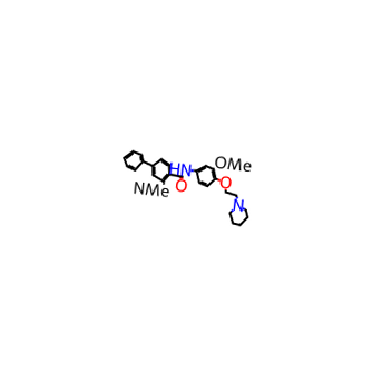 CNc1cc(-c2ccccc2)ccc1C(=O)Nc1ccc(OCCN2CCCCC2)c(OC)c1